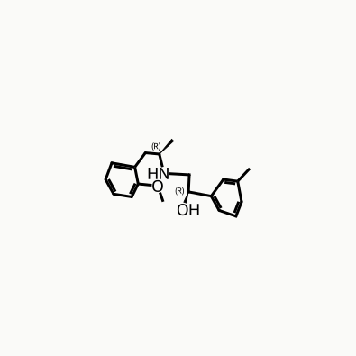 COc1ccccc1C[C@@H](C)NC[C@H](O)c1cccc(C)c1